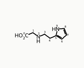 O=C(O)CNCCc1ccc[nH]1